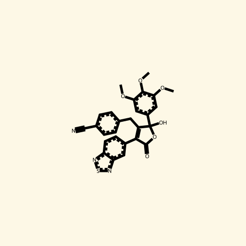 COc1cc(C2(O)OC(=O)C(c3ccc4nsnc4c3)=C2Cc2ccc(C#N)cc2)cc(OC)c1OC